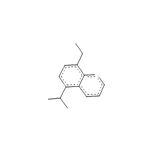 CCc1ccc(C(C)C)c2cccnc12